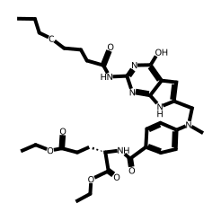 CCCCCCCC(=O)Nc1nc(O)c2cc(CN(C)c3ccc(C(=O)N[C@@H](CCC(=O)OCC)C(=O)OCC)cc3)[nH]c2n1